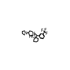 OC1(C(CN2CCC(N3CCCC3)CC2)c2cccc(C(F)(F)F)c2)CCCCC1